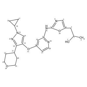 CC(O)Cc1cnc(Nc2cc(Oc3cn(C4CC4)nc3C3CCOCC3)ccn2)o1